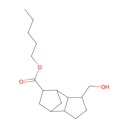 CCCCCOC(=O)C1CC2CC1C1C(CO)CCC21